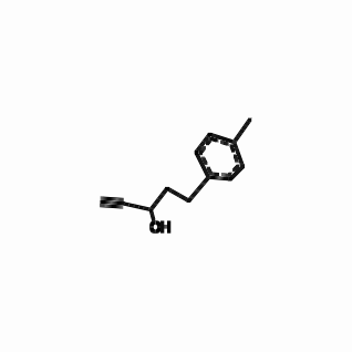 C#CC(O)CCc1ccc(C)cc1